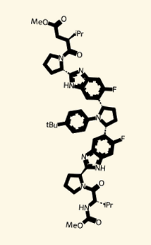 COC(=O)C[C@H](C(=O)N1CCC[C@H]1c1nc2cc(F)c([C@@H]3CC[C@H](c4cc5nc([C@@H]6CCCN6C(=O)[C@@H](NC(=O)OC)C(C)C)[nH]c5cc4F)N3c3ccc(C(C)(C)C)cc3)cc2[nH]1)C(C)C